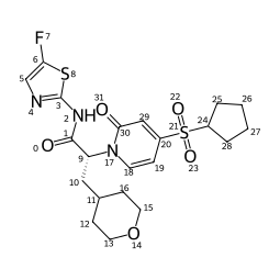 O=C(Nc1ncc(F)s1)[C@@H](CC1CCOCC1)n1ccc(S(=O)(=O)C2CCCC2)cc1=O